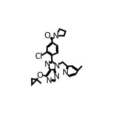 Cc1ccnc(Cn2c(-c3ccc(C(=O)N4CCC4)cc3Cl)nc3c(OC4(C)CC4)ncnc32)c1